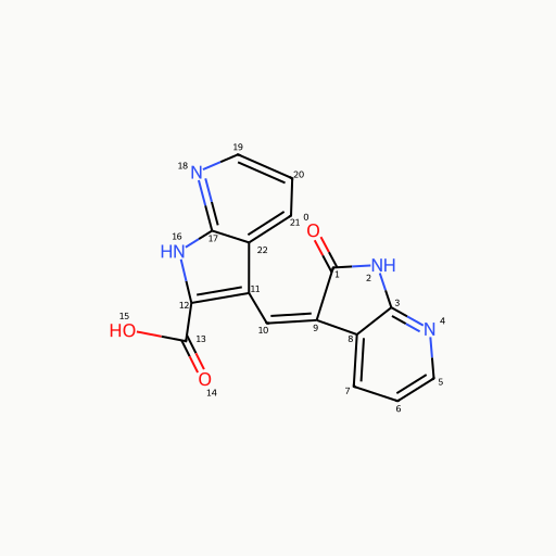 O=C1Nc2ncccc2C1=Cc1c(C(=O)O)[nH]c2ncccc12